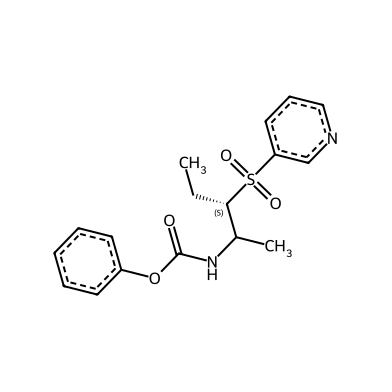 CC[C@@H](C(C)NC(=O)Oc1ccccc1)S(=O)(=O)c1cccnc1